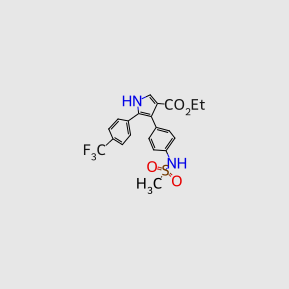 CCOC(=O)c1c[nH]c(-c2ccc(C(F)(F)F)cc2)c1-c1ccc(NS(C)(=O)=O)cc1